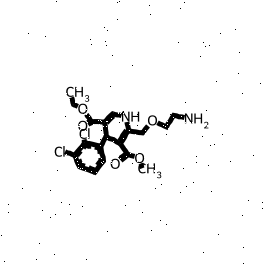 CCOC(=O)C1=CNC(COCCN)=C(C(=O)OC)C1c1cccc(Cl)c1Cl